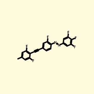 Cc1cc(F)c(C#Cc2ccc(N=Nc3cc(F)c(F)c(F)c3)c(F)c2)c(F)c1